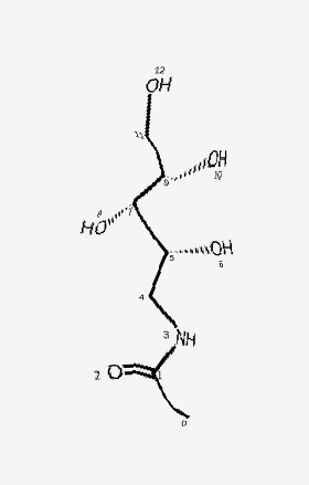 CC(=O)NC[C@@H](O)[C@H](O)[C@@H](O)CO